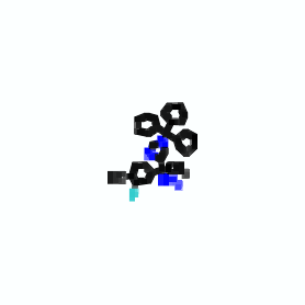 CC(N)(c1ccc(C#N)c(F)c1)c1cn(C(c2ccccc2)(c2ccccc2)c2ccccc2)cn1